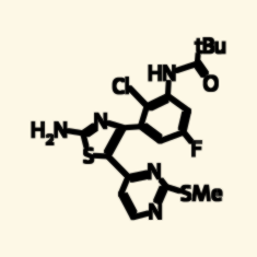 CSc1nccc(-c2sc(N)nc2-c2cc(F)cc(NC(=O)C(C)(C)C)c2Cl)n1